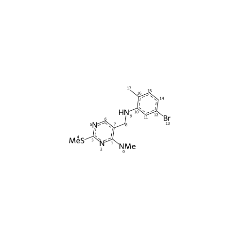 CNc1nc(SC)ncc1CNc1cc(Br)ccc1C